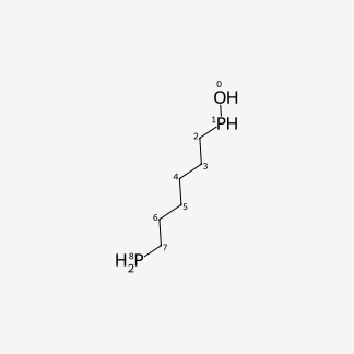 OPCCCCCCP